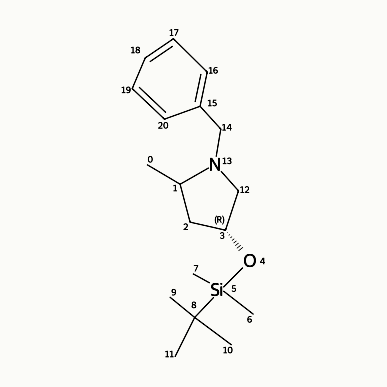 CC1C[C@@H](O[Si](C)(C)C(C)(C)C)CN1Cc1ccccc1